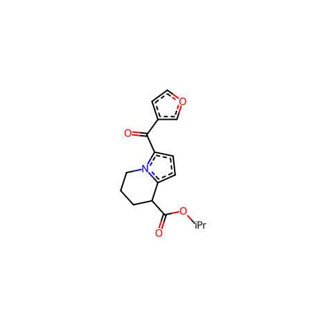 CC(C)OC(=O)C1CCCn2c(C(=O)c3ccoc3)ccc21